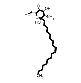 CCCCCCCC/C=C\CCCCCCCC[C@@]1(O)O[C@H](CO)[C@@H](O)[C@H](O)[C@H]1N